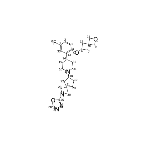 Fc1ccc(OC2CC3(COC3)C2)c(C2CCN(C3CCC4(C3)CN(c3nnco3)C4)CC2)c1